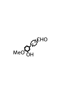 COc1ccc(N2CCN(C=O)CC2)cc1O